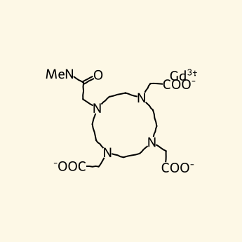 CNC(=O)CN1CCN(CC(=O)[O-])CCN(CC(=O)[O-])CCN(CC(=O)[O-])CC1.[Gd+3]